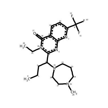 CCCC(c1nc2nc(C(F)(F)F)ccc2c(=O)n1CC)N1CCCN(C)CC1